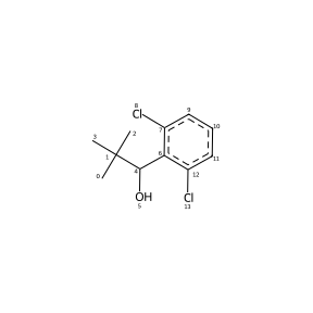 CC(C)(C)C(O)c1c(Cl)cccc1Cl